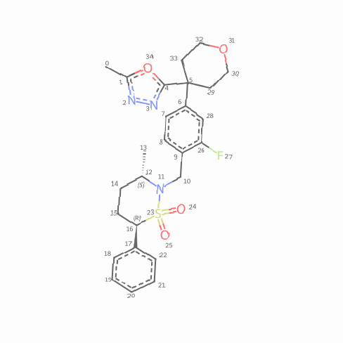 Cc1nnc(C2(c3ccc(CN4[C@@H](C)CC[C@H](c5ccccc5)S4(=O)=O)c(F)c3)CCOCC2)o1